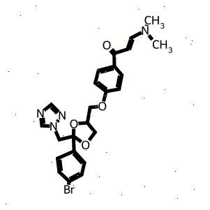 CN(C)C=CC(=O)c1ccc(OCC2COC(Cn3cncn3)(c3ccc(Br)cc3)O2)cc1